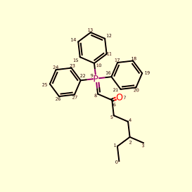 CCC(C)CCC(=O)C=P(c1ccccc1)(c1ccccc1)c1ccccc1